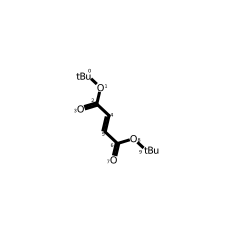 CC(C)(C)OC(=O)C=CC(=O)OC(C)(C)C